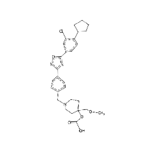 COCC1(OC(=O)O)CCN(Cc2ccc(-c3noc(-c4ccc(C5CCCC5)c(Cl)c4)n3)cc2)CC1